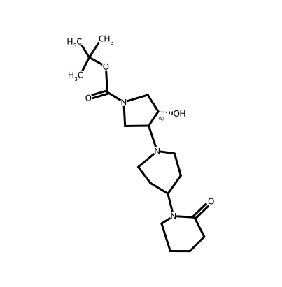 CC(C)(C)OC(=O)N1CC(N2CCC(N3CCCCC3=O)CC2)[C@@H](O)C1